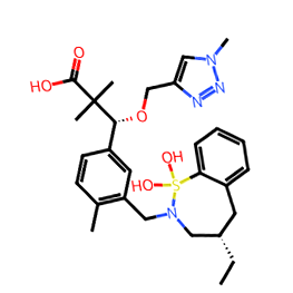 CC[C@H]1Cc2ccccc2S(O)(O)N(Cc2cc([C@@H](OCc3cn(C)nn3)C(C)(C)C(=O)O)ccc2C)C1